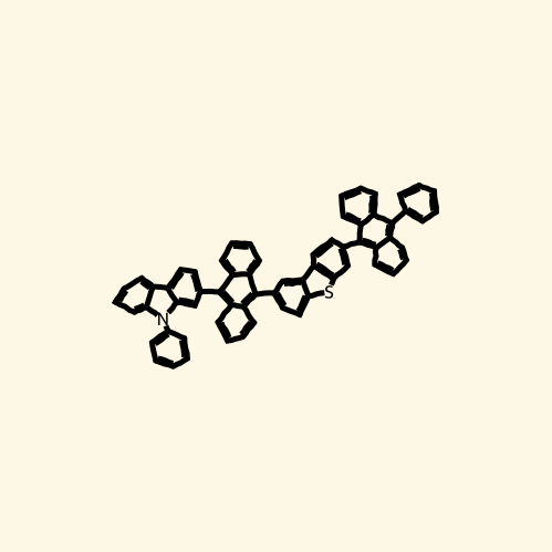 c1ccc(-c2c3ccccc3c(-c3ccc4c(c3)sc3ccc(-c5c6ccccc6c(-c6ccc7c8ccccc8n(-c8ccccc8)c7c6)c6ccccc56)cc34)c3ccccc23)cc1